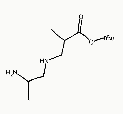 CCCCOC(=O)C(C)CNCC(C)N